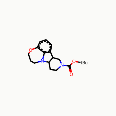 CC(C)(C)OC(=O)N1CCC2C(C1)c1cccc3c1N2CCCO3